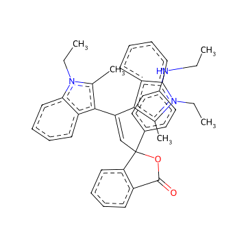 CCNc1ccc(C2(C=C(c3c(C)n(CC)c4ccccc34)c3c(C)n(CC)c4ccccc34)OC(=O)c3ccccc32)cc1